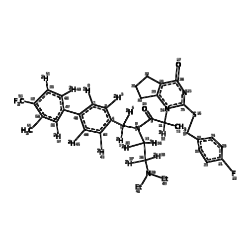 [2H]c1c([2H])c(C([2H])([2H])N(C(=O)C([2H])(C)n2c(SCc3ccc(F)cc3)nc(=O)c3c2CCC3)C([2H])([2H])C([2H])([2H])N(CC)CC)c([2H])c([2H])c1-c1c([2H])c([2H])c(C(F)(F)F)c(C)c1[2H]